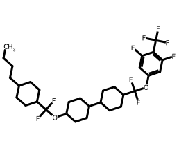 CCCCC1CCC(C(F)(F)OC2CCC(C3CCC(C(F)(F)Oc4cc(F)c(C(F)(F)F)c(F)c4)CC3)CC2)CC1